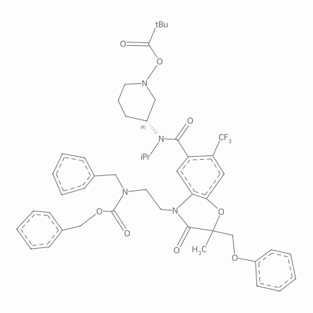 CC(C)N(C(=O)c1cc2c(cc1C(F)(F)F)OC(C)(COc1ccccc1)C(=O)N2CCN(Cc1ccccc1)C(=O)OCc1ccccc1)[C@@H]1CCCN(OC(=O)C(C)(C)C)C1